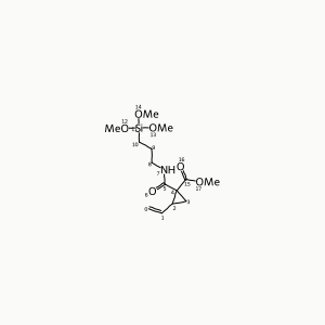 C=CC1CC1(C(=O)NCCC[Si](OC)(OC)OC)C(=O)OC